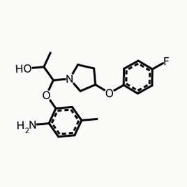 Cc1ccc(N)c(OC(C(C)O)N2CCC(Oc3ccc(F)cc3)C2)c1